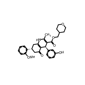 COc1ccccc1[C@H]1CC(=O)C2=C(C1)NC(C)=C(C(=O)OCC1CCOCC1)[C@H]2c1cccc(O)c1